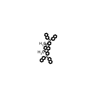 CN1c2cc(N(C3=CC4C=CC=CC4C=C3)c3ccc4ccccc4c3)ccc2-c2ccc3c4c(ccc1c24)N(C)c1cc(N(c2ccc4ccccc4c2)c2ccc4ccccc4c2)ccc1-3